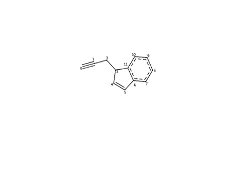 [C]#CCC1C=Cc2ccccc21